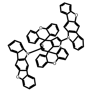 c1ccc2c(c1)Oc1ccccc1C21c2cc(-n3c4ccccc4c4cc5oc6ccccc6c5cc43)sc2C2(c3ccccc3Oc3ccccc32)c2cc(-n3c4ccccc4c4cc5oc6ccccc6c5cc43)sc21